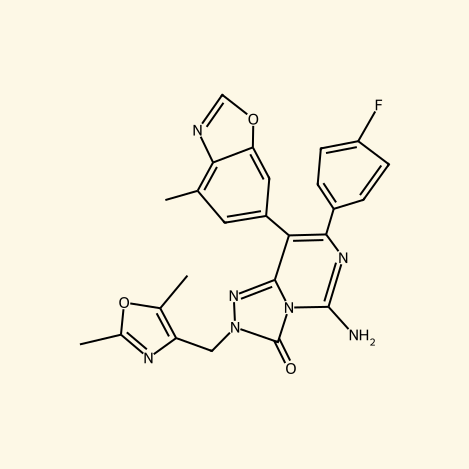 Cc1nc(Cn2nc3c(-c4cc(C)c5ncoc5c4)c(-c4ccc(F)cc4)nc(N)n3c2=O)c(C)o1